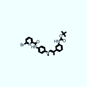 C/C(=C\N(C)c1ccc(NC(=O)c2cccc(Br)n2)cc1)c1cccc(NC(=O)OC(C)(C)C)c1